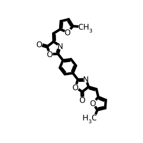 Cc1ccc(C=C2N=C(c3ccc(C4=NC(=Cc5ccc(C)o5)C(=O)O4)cc3)OC2=O)o1